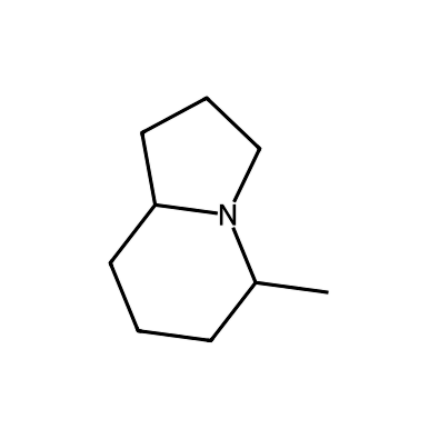 CC1CCCC2CCCN12